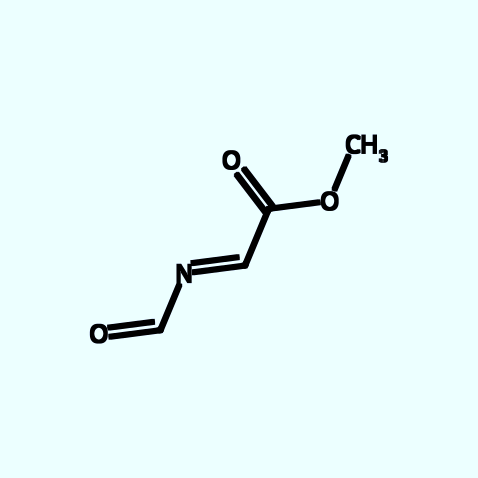 COC(=O)C=NC=O